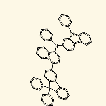 c1ccc(N(c2ccc3c4ccccc4n(-c4ccccc4)c3c2)c2ccc(-c3ccc4c(c3)-c3ccccc3C4(c3ccccc3)c3ccccc3)c3ccccc23)cc1